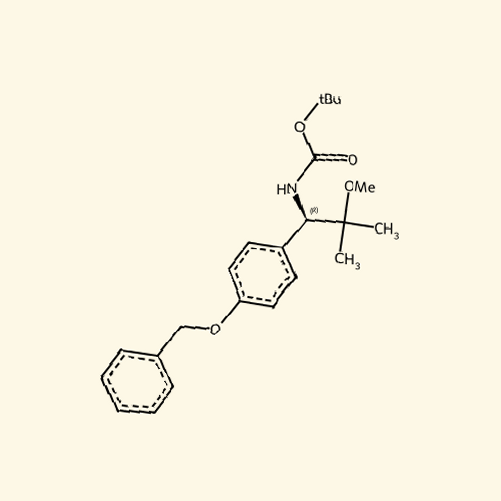 COC(C)(C)[C@H](NC(=O)OC(C)(C)C)c1ccc(OCc2ccccc2)cc1